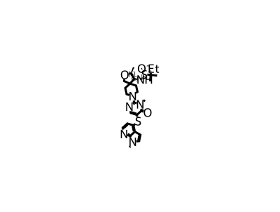 CCC(C)(C)[S@@+]([O-])N[C@@H]1[C@H](C)OCC12CCN(c1ncc(Sc3ccnc4c3ccn4C)c(=O)n1C)CC2